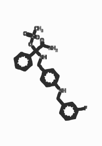 CS(=O)(=O)OC(NCc1ccc(NCc2cccc(F)c2)cc1)(C(N)=O)c1ccccc1